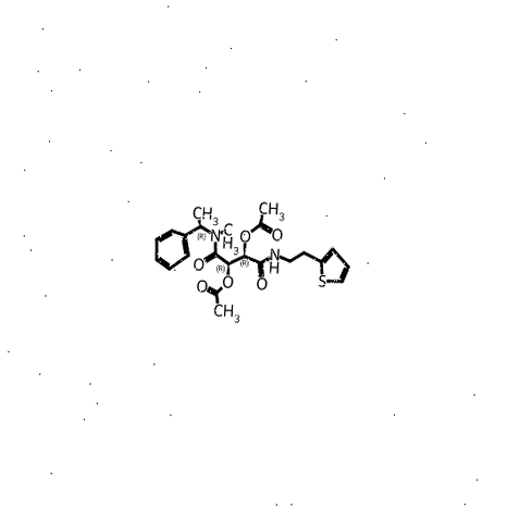 CC(=O)O[C@@H](C(=O)NCCc1cccs1)[C@@H](OC(C)=O)C(=O)N(C)[C@H](C)c1ccccc1